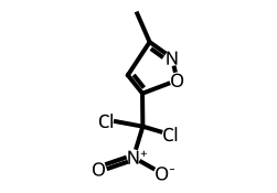 Cc1cc(C(Cl)(Cl)[N+](=O)[O-])on1